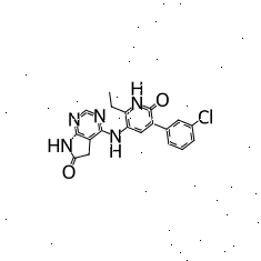 CCc1[nH]c(=O)c(-c2cccc(Cl)c2)cc1Nc1ncnc2c1CC(=O)N2